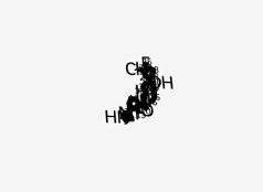 O=C(c1cccc(-c2cc[nH]n2)c1F)N1CCN2C[C@@](O)(c3ccc(F)c(Cl)c3)CC[C@@H]2C1